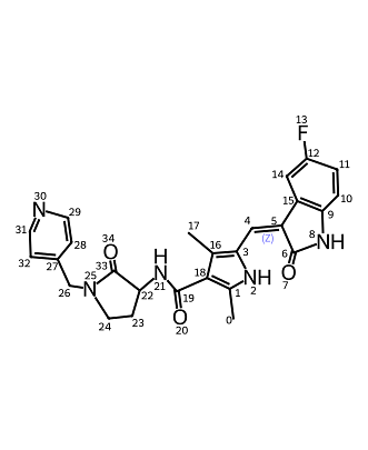 Cc1[nH]c(/C=C2\C(=O)Nc3ccc(F)cc32)c(C)c1C(=O)NC1CCN(Cc2ccncc2)C1=O